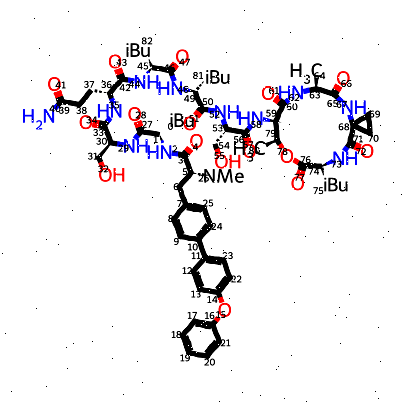 CC[C@H](C)[C@H](NC(=O)[C@@H](Cc1ccc(-c2ccc(Oc3ccccc3)cc2)cc1)NC)C(=O)N[C@@H](CO)C(=O)N[C@H](CCC(N)=O)C(=O)N[C@@H](C(=O)N[C@H](C(=O)N[C@@H](CO)C(=O)N[C@H]1C(=O)N[C@@H](C)C(=O)NC2(CC2)C(=O)N[C@@H]([C@@H](C)CC)C(=O)O[C@H]1C)[C@@H](C)CC)[C@@H](C)CC